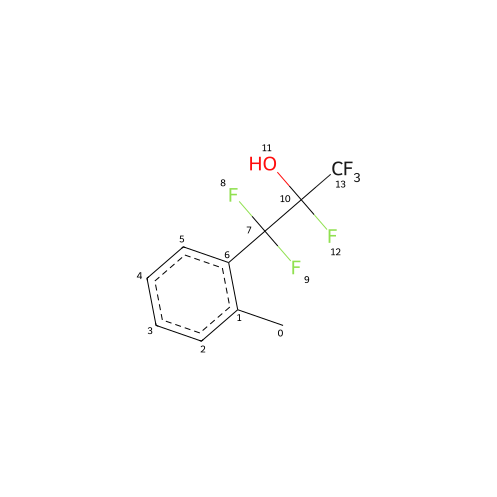 Cc1ccccc1C(F)(F)C(O)(F)C(F)(F)F